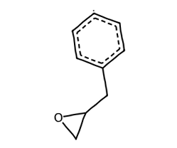 [c]1ccc(CC2CO2)cc1